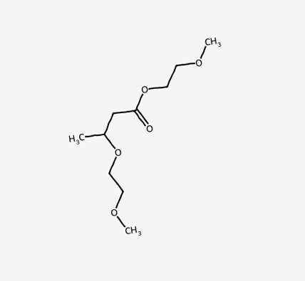 COCCOC(=O)CC(C)OCCOC